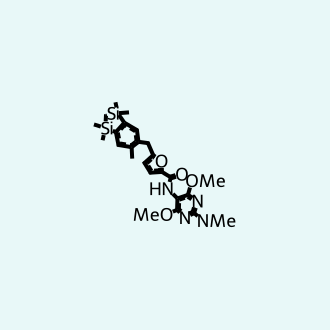 CNc1nc(OC)c(NC(=O)c2ccc(Cc3cc4c(cc3C)[Si](C)(C)C[Si]4(C)C)o2)c(OC)n1